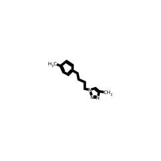 Cc1ccc(CCCCn2cc(C)nn2)cc1